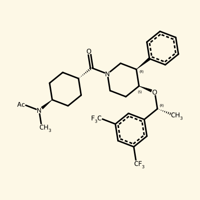 CC(=O)N(C)[C@H]1CC[C@H](C(=O)N2CC[C@H](O[C@H](C)c3cc(C(F)(F)F)cc(C(F)(F)F)c3)[C@H](c3ccccc3)C2)CC1